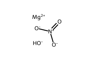 O=[N+]([O-])[O-].[Mg+2].[OH-]